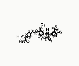 CCc1cc([SH]2NN(c3cnc(C#N)c(C(F)(F)F)c3)C(=O)C2(C)C)ccc1OCCC1CCN([C@@H](C)C(=O)O)CC1